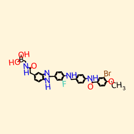 COc1ccc(C(=O)Nc2ccc(CNc3ccc(-c4nc5cc(CC(=O)NCB(O)O)ccc5[nH]4)cc3F)cc2)cc1Br